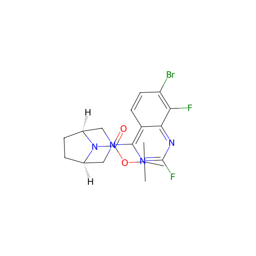 CC(C)(C)OC(=O)N1[C@@H]2CC[C@H]1CN(c1nc(F)nc3c(F)c(Br)ccc13)C2